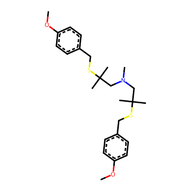 COc1ccc(CSC(C)(C)CN(C)CC(C)(C)SCc2ccc(OC)cc2)cc1